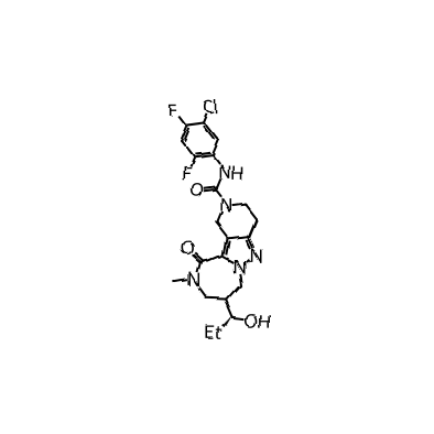 CC[C@H](O)C1CN(C)C(=O)c2c3c(nn2C1)CCN(C(=O)Nc1cc(Cl)c(F)cc1F)C3